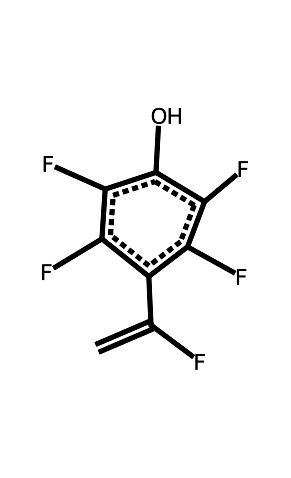 C=C(F)c1c(F)c(F)c(O)c(F)c1F